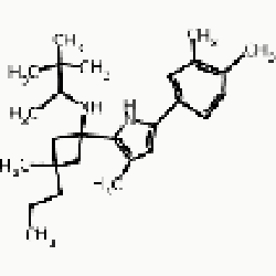 CCCC1(C)CC(NC(C)C(C)(C)C)(c2[nH]c(-c3ccc(C)c(C)c3)cc2C)C1